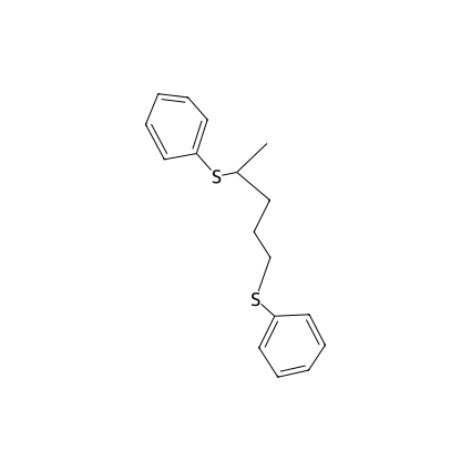 CC(CCCSc1ccccc1)Sc1ccccc1